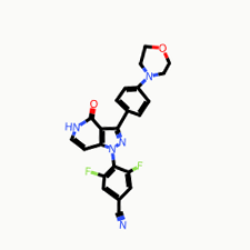 N#Cc1cc(F)c(-n2nc(-c3ccc(N4CCOCC4)cc3)c3c(=O)[nH]ccc32)c(F)c1